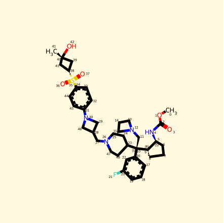 COC(=O)N[C@H]1CCC[C@@H]1[C@](CN1CCC1)(c1cccc(F)c1)C1CCN(CC2CN(c3ccc(S(=O)(=O)[C@H]4C[C@@](C)(O)C4)cc3)C2)CC1